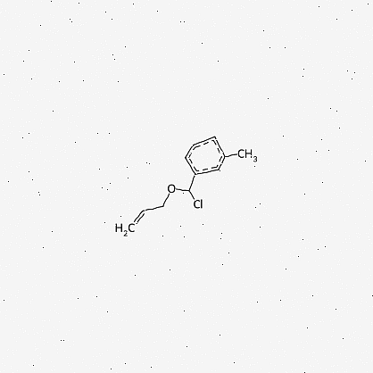 C=CCOC(Cl)c1cccc(C)c1